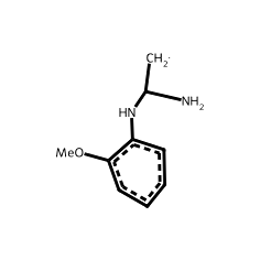 [CH2]C(N)Nc1ccccc1OC